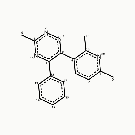 Cc1ccc(-c2nnc(C)nc2-c2ccccc2)c(C)n1